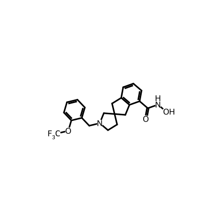 O=C(NO)c1cccc2c1CC1(CCN(Cc3ccccc3OC(F)(F)F)C1)C2